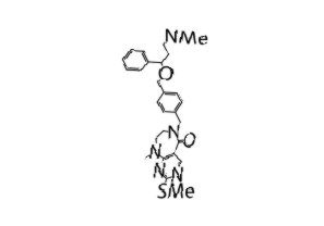 CNCCC(OCc1ccc(CN2CCN(C)c3nc(SC)ncc3C2=O)cc1)c1ccccc1